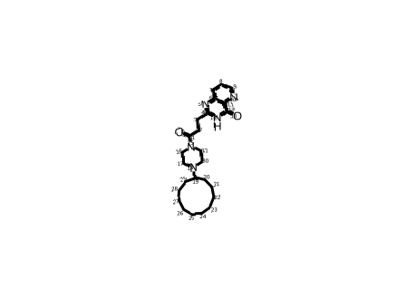 O=C(CCc1nc2cccnc2c(=O)[nH]1)N1CCN(C2CCCCCCCCCC2)CC1